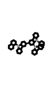 c1ccc(-n2c3ccccc3c3cc(-c4ccc5c(c4)c4ccccc4n5-c4cccc5ccccc45)cc(-n4c5ccccc5c5ccccc54)c32)cc1